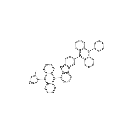 Cc1cocc1-c1c2ccccc2c(-c2cccc3c2sc2ccc(-c4c5ccccc5c(-c5ccccc5)c5ccccc45)cc23)c2ccccc12